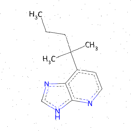 CCCC(C)(C)c1ccnc2[nH]cnc12